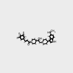 CNc1ccc2[nH]cc(C3CCN(CC(O)C4CCN(C(=O)/C=C/c5cc(F)c(F)c(F)c5)CC4)CC3)c2c1